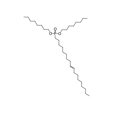 CCCCCCCCC=CCCCCCCCCP(=O)(OCCCCCCCC)OCCCCCCCC